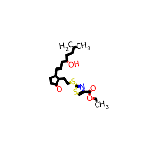 C=C(C)CCC(O)C/C=C/C1CCC(=O)C1CCSc1nc(C(=O)OCC)cs1